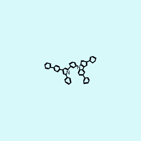 C1=CCCC(c2ccc3c(c2)c2cc(-c4ccccc4)ccc2n3-c2cccc(-c3cc(-c4ccc(-c5ccccc5)cc4)cc(-c4ccccc4)n3)c2)=C1